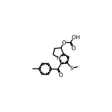 CSc1cc2n(c1C(=O)c1ccc(C)cc1)CCC2OC(=O)O